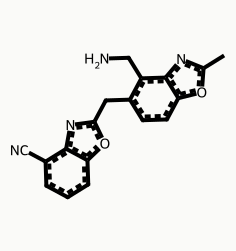 Cc1nc2c(CN)c(Cc3nc4c(C#N)cccc4o3)ccc2o1